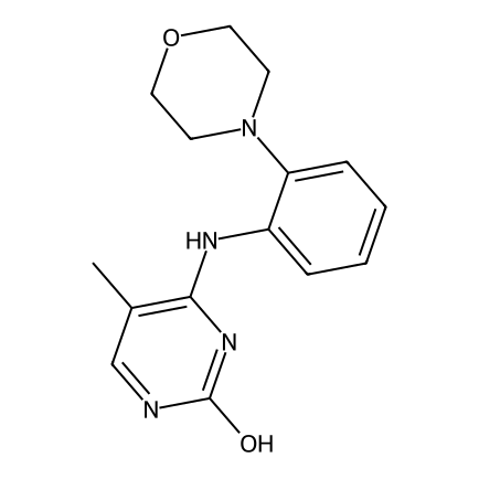 Cc1cnc(O)nc1Nc1ccccc1N1CCOCC1